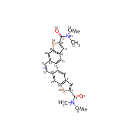 CON(C)C(=O)c1cc2ccc(/C=C\c3ccc4cc(C(=O)N(C)OC)sc4c3)cc2s1